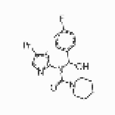 CC(C)c1cnc(N(C(=O)N2CCCCC2)C(O)c2ccc(F)cc2)s1